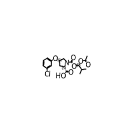 CC(=O)O[C@H](OC(=O)N1C[C@@H](Oc2cccc(Cl)c2)C[C@H]1C(=O)O)C(C)C